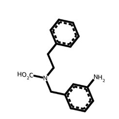 Nc1cccc(CN(CCc2ccccc2)C(=O)O)c1